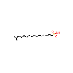 CC(C)CCCCCCCCCCCCCCS(=O)(=O)O